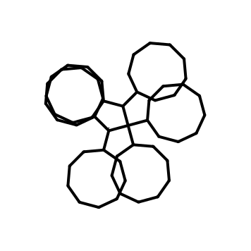 C1CCCCC([C](C2CCCCCCCC2)C(C2CCCCCCCC2)(C2CCCCCCCC2)C(C2CCCCCCCC2)C2CCCCCCCC2)CCC1